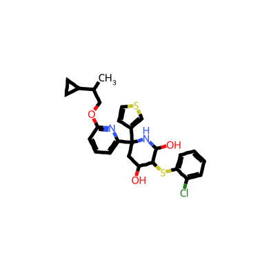 CC(COc1cccc(C2(c3ccsc3)CC(O)C(Sc3ccccc3Cl)C(O)N2)n1)C1CC1